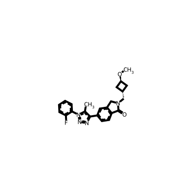 CO[C@H]1C[C@H](CN2Cc3cc(-c4nnn(-c5ccccc5F)c4C)ccc3C2=O)C1